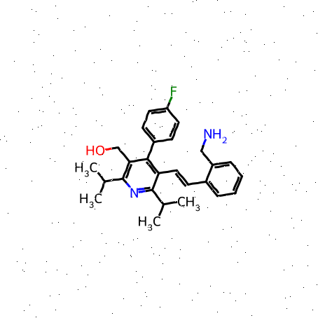 CC(C)c1nc(C(C)C)c(CO)c(-c2ccc(F)cc2)c1/C=C/c1ccccc1CN